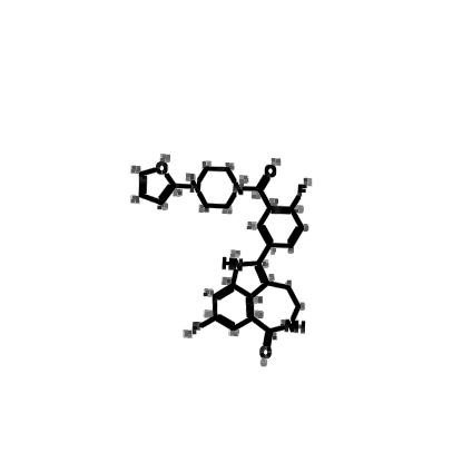 O=C1NCCc2c(-c3ccc(F)c(C(=O)N4CCN(c5ccco5)CC4)c3)[nH]c3cc(F)cc1c23